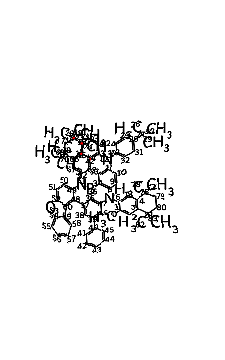 Cc1cc2c(cc1N1c3ccc(N(c4ccc(C(C)(C)C)cc4)c4ccc(C(C)(C)C)cc4)cc3B3c4c(cc(-c5ccccc5)cc41)-c1c(ccc4oc5ccccc5c14)N3c1ccc3c(c1)C(C)(C)CCC3(C)C)C(C)(C)CCC2(C)C